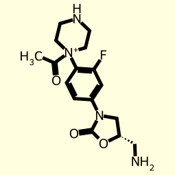 CC(=O)[N+]1(c2ccc(N3C[C@H](CN)OC3=O)cc2F)CCNCC1